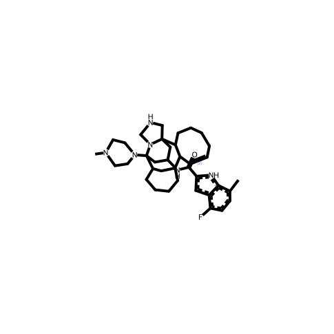 Cc1ccc(F)c2cc(C(=O)NC3CC45CNCN4C(N4CCN(C)CC4)(C3)C3CCCCC(C3)C3/C=C\CCCCC35)[nH]c12